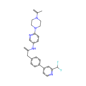 C=C(Cc1ccc(-c2ccnc(C(F)F)c2)cc1)Nc1ccc(N2CCN(C(=C)C)CC2)nc1